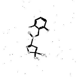 CC1(C)CC([S+]([O-])Cc2c(F)cccc2F)=NO1